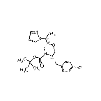 C[C@@H]([C@H]1CN(C(=O)OC(C)(C)C)[C@@H](Cc2ccc(Cl)cc2)CO1)n1cccn1